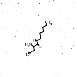 CCCCCCNC(=O)C(N)CC#N